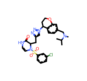 CC(C)N(C)Cc1ccc2c(c1)OCCC2n1cc(CC2C(=O)NC=CN2S(=O)(=O)c2cccc(Cl)c2)nn1